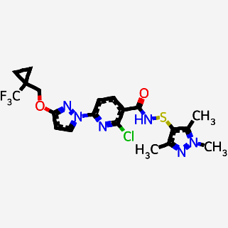 Cc1nn(C)c(C)c1SNC(=O)c1ccc(-n2ccc(OCC3(C(F)(F)F)CC3)n2)nc1Cl